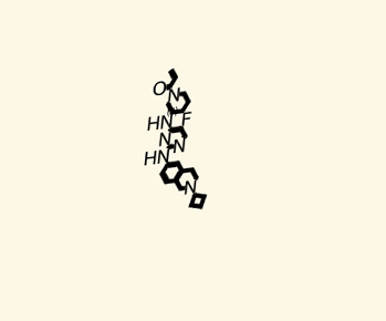 C=CC(=O)N1CCC[C@@H](Nc2nc(Nc3ccc4c(c3)CCN(C3CCC3)C4)ncc2F)C1